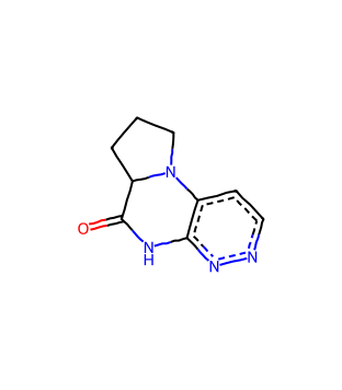 O=C1Nc2nnccc2N2CCCC12